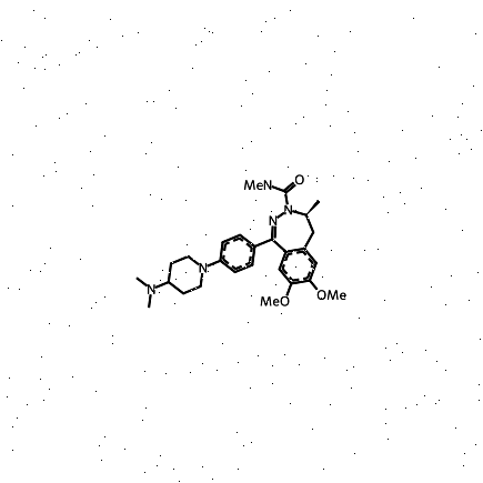 CNC(=O)N1N=C(c2ccc(N3CCC(N(C)C)CC3)cc2)c2cc(OC)c(OC)cc2C[C@@H]1C